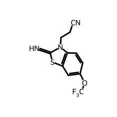 N#CCCn1c(=N)sc2cc(OC(F)(F)F)ccc21